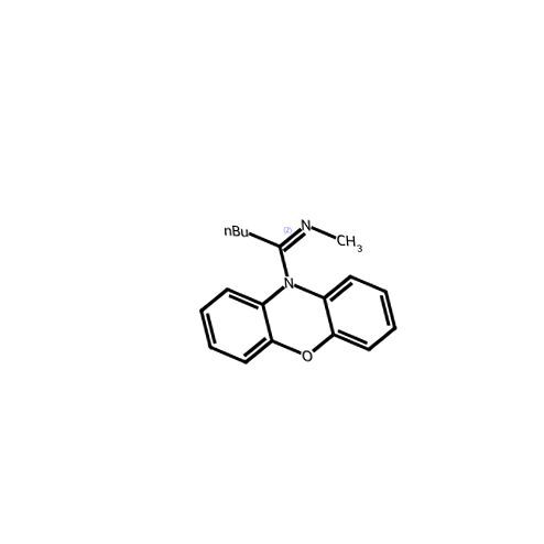 CCCC/C(=N/C)N1c2ccccc2Oc2ccccc21